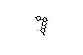 CN(C)[C@H]1C(O)=C(C(N)=O)C(=O)[C@]2(O)C(O)=C3C(=O)c4c(O)ccc(-c5ccc(C(C)(C)C)cc5)c4C[C@@H]3C[C@H]12